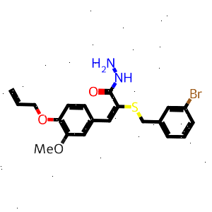 C=CCOc1ccc(/C=C(/SCc2cccc(Br)c2)C(=O)NN)cc1OC